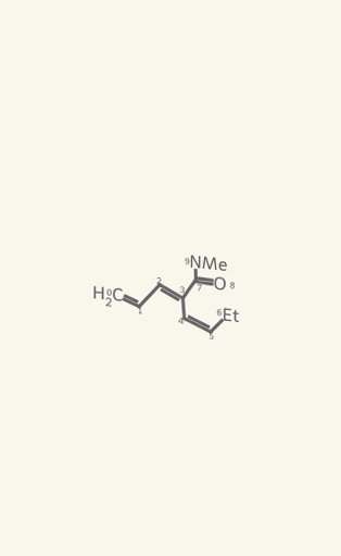 C=C/C=C(\C=C/CC)C(=O)NC